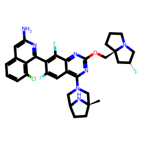 C[C@]12CCC(CN(c3nc(OC[C@@]45CCCN4C[C@H](F)C5)nc4c(F)c(-c5nc(N)cc6cccc(Cl)c56)c(F)cc34)C1)N2